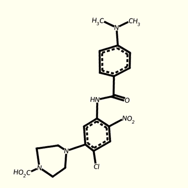 CN(C)c1ccc(C(=O)Nc2cc(N3CCN(C(=O)O)CC3)c(Cl)cc2[N+](=O)[O-])cc1